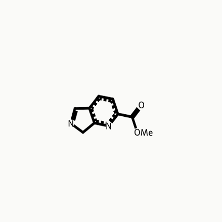 COC(=O)c1ccc2c(n1)CN=C2